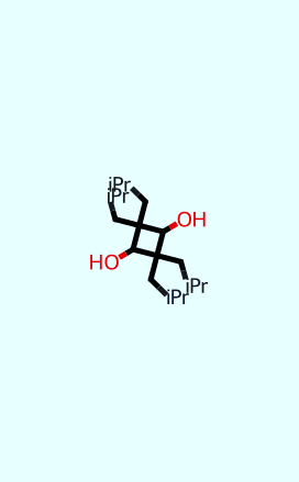 CC(C)CC1(CC(C)C)C(O)C(CC(C)C)(CC(C)C)C1O